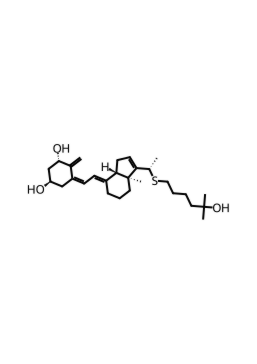 C=C1C(=CC=C2CCC[C@]3(C)C([C@H](C)SCCCCC(C)(C)O)=CC[C@@H]23)C[C@@H](O)C[C@@H]1O